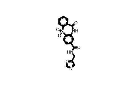 O=C(NCc1cnco1)c1ccc2c(c1)NC(=O)c1ccccc1S2(=O)=O